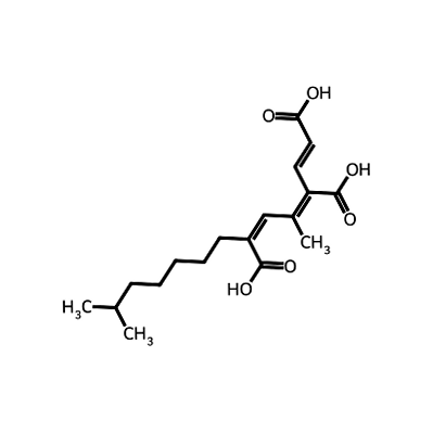 CC(C=C(CCCCCC(C)C)C(=O)O)=C(C=CC(=O)O)C(=O)O